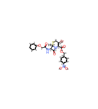 O=C(COc1ccccc1)NC1C(=O)N2C(C(=O)OCc3ccc([N+](=O)[O-])cc3)=C(Br)CS[C@H]12